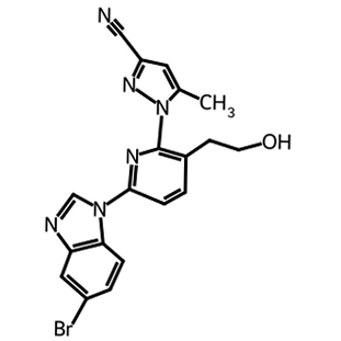 Cc1cc(C#N)nn1-c1nc(-n2cnc3cc(Br)ccc32)ccc1CCO